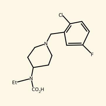 CCN(C(=O)O)C1CCN(Cc2cc(F)ccc2Cl)CC1